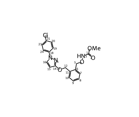 COC(=O)NOCc1ccccc1COc1ccn(-c2ccc(Cl)cc2)n1